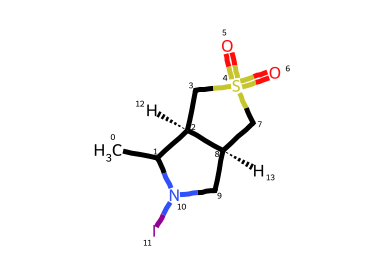 CC1[C@H]2CS(=O)(=O)C[C@H]2CN1I